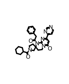 O=C(C1CCCCC1)N1CCC2(CCn3c(nc(-c4ccncn4)cc3=O)N2C(=O)Cc2ccccc2)C1